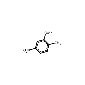 [CH2]c1ccc([N+](=O)[O-])cc1OC